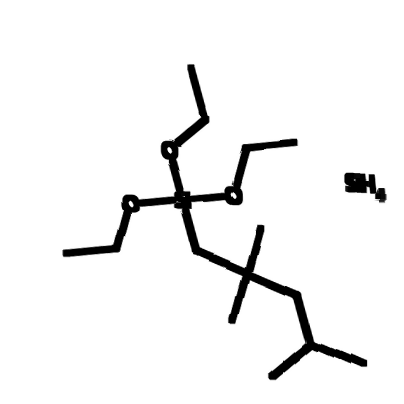 CCO[Si](CC(C)(C)CC(C)C)(OCC)OCC.[SiH4]